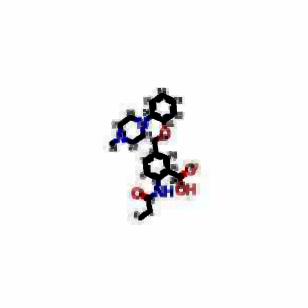 CCC(=O)Nc1ccc(COc2ccccc2N2CCN(C)CC2)cc1C(=O)O